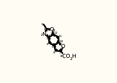 Cc1nc2cc3cc(C(=O)O)oc3cc2o1